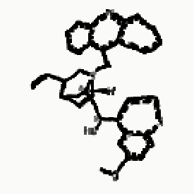 C=CC1C[N+]2(Cc3c4ccccc4nc4ccccc34)CCC1C[C@H]2[C@H](O)c1ccnc2ccc(OC)cc12